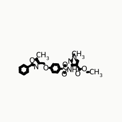 CCOC(=O)c1cn(C)nc1NS(=O)(=O)c1ccc(OCc2nc(-c3ccccc3)oc2C)cc1